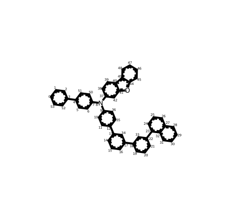 c1ccc(-c2ccc(N(c3ccc(-c4cccc(-c5cccc(-c6cccc7ccccc67)c5)c4)cc3)c3ccc4c(c3)oc3ccccc34)cc2)cc1